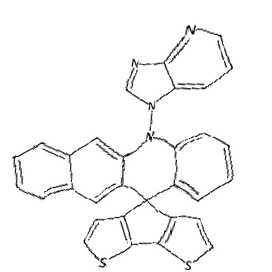 c1ccc2c(c1)N(n1cnc3ncccc31)c1cc3ccccc3cc1C21c2ccsc2-c2sccc21